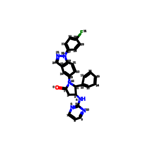 O=C1C[C@H](Nc2ncccn2)C(c2ccccc2)N1c1ccc2c(cnn2-c2ccc(F)cc2)c1